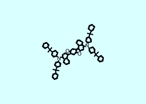 CC(C)(c1ccccc1)c1ccc(N(c2ccc(C(C)(C)c3ccccc3)cc2)c2cc3oc4cc5c(cc4c3c3ccccc23)oc2cc(N(c3ccc(C(C)(C)c4ccccc4)cc3)c3ccc(C(C)(C)c4ccccc4)cc3)c3ccccc3c25)cc1